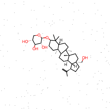 C=C(C)[C@@H]1CC[C@]2(CO)CC[C@]3(C)[C@H](CCC4[C@@]5(C)CC[C@@H](O[C@@H]6OC[C@@H](O)[C@H](O)[C@H]6O)C(C)(C)[C@@H]5CC[C@]43C)[C@@H]12